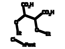 CCCCCCl.CCOC(C(=O)O)C(OCC)C(=O)O